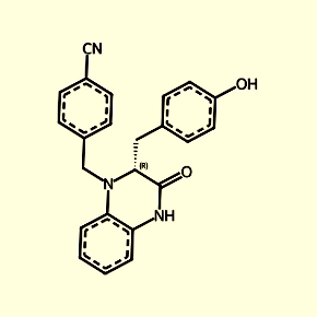 N#Cc1ccc(CN2c3ccccc3NC(=O)[C@H]2Cc2ccc(O)cc2)cc1